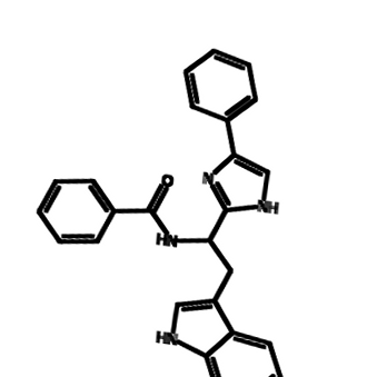 O=C(NC(Cc1c[nH]c2ccccc12)c1nc(-c2ccccc2)c[nH]1)c1ccccc1